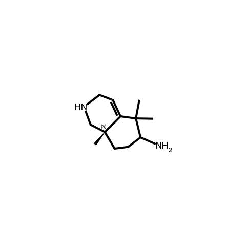 CC1(C)C2=CCNC[C@@]2(C)CCC1N